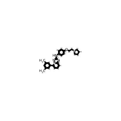 Cc1cc(C)cc(-c2cccc3nc(Nc4ccc(OCCN5CCCC5)cc4)nn23)c1